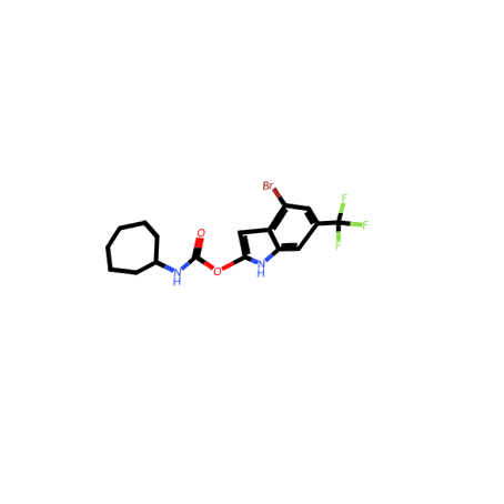 O=C(NC1CCCCCC1)Oc1cc2c(Br)cc(C(F)(F)F)cc2[nH]1